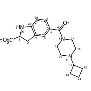 O=C(O)C1Cc2cc(C(=O)N3CCN(C4CCC4)CC3)ccc2N1